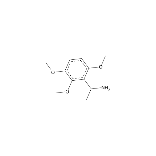 COc1ccc(OC)c(C(C)N)c1OC